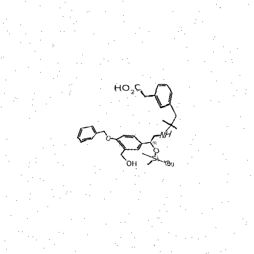 CC(C)(Cc1cccc(CC(=O)O)c1)NC[C@@H](O[Si](C)(C)C(C)(C)C)c1ccc(OCc2ccccc2)c(CO)c1